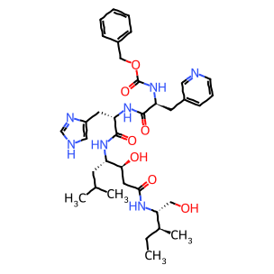 CC[C@H](C)[C@@H](CO)NC(=O)C[C@H](O)[C@H](CC(C)C)NC(=O)[C@H](Cc1c[nH]cn1)NC(=O)[C@H](Cc1cccnc1)NC(=O)OCc1ccccc1